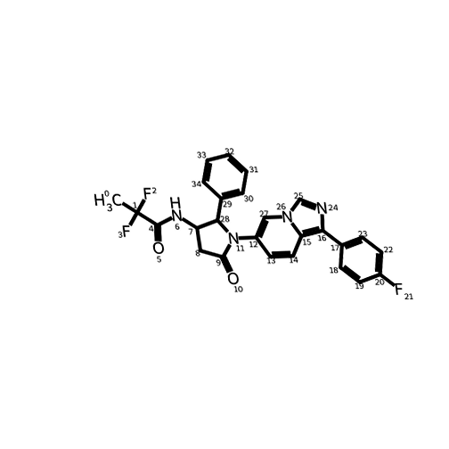 CC(F)(F)C(=O)NC1CC(=O)N(c2ccc3c(-c4ccc(F)cc4)ncn3c2)C1c1ccccc1